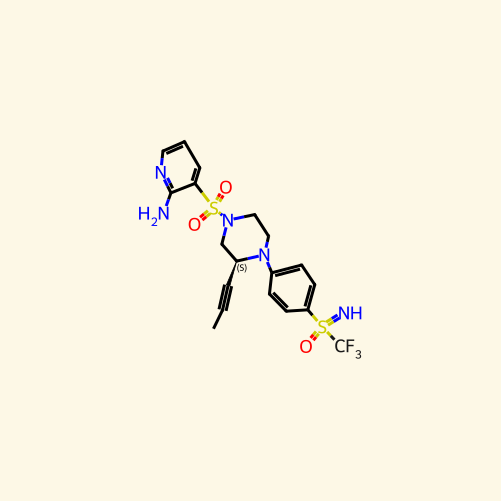 CC#C[C@H]1CN(S(=O)(=O)c2cccnc2N)CCN1c1ccc(S(=N)(=O)C(F)(F)F)cc1